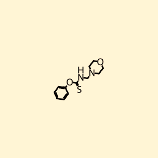 S=C(NCN1CCOCC1)Oc1ccccc1